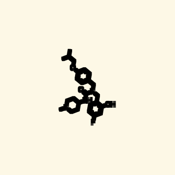 CC(C)COc1ccc(CN(Cc2ccc(F)cc2O)C(=O)NC2CCN(C)CC2)cc1